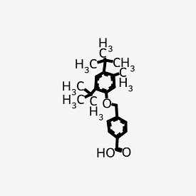 Cc1cc(OCc2ccc(C(=O)O)cc2)c(C(C)(C)C)cc1C(C)(C)C